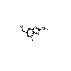 Cc1cc(CCl)cc2sc(N)nc12